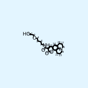 C#CCOCCCCNC(=O)c1cc2cc3c4c(c2oc1=O)CCCN4CCC3